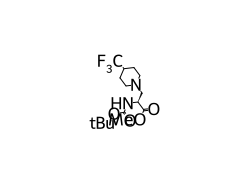 COC(=O)[C@H](CN1CCC(C(F)(F)F)CC1)NC(=O)OC(C)(C)C